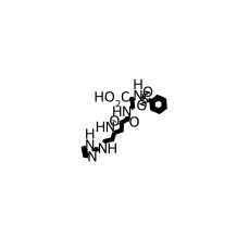 O=C(O)C(CNC(=O)C1CC(CCNc2ncc[nH]2)NO1)NS(=O)(=O)c1ccccc1